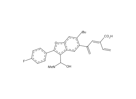 C=C/C(=C\C(=C)c1cc2c(C(O)NC)c(-c3ccc(F)cc3)oc2cc1C(C)CC)C(=O)O